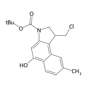 Cc1ccc2c(O)cc3c(c2c1)C(CCl)CN3C(=O)OC(C)(C)C